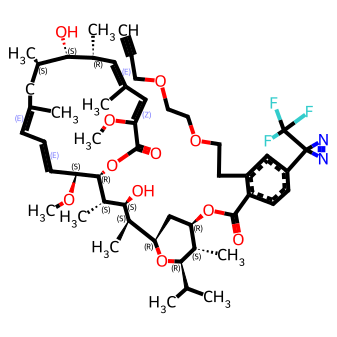 C#CCOCCOCCc1cc(C2(C(F)(F)F)N=N2)ccc1C(=O)O[C@@H]1C[C@H]([C@@H](C)[C@H](O)[C@H](C)[C@H]2OC(=O)/C(OC)=C/C(C)=C/[C@@H](C)[C@@H](O)[C@@H](C)C/C(C)=C/C=C/[C@@H]2OC)O[C@H](C(C)C)[C@H]1C